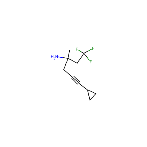 CC(N)(CC#CC1CC1)CC(F)(F)F